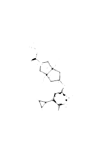 CC(C)(C)OC(=O)N1C[C@H]2CC(Nc3cc(C4CC4)c(Cl)nn3)C[C@H]2C1